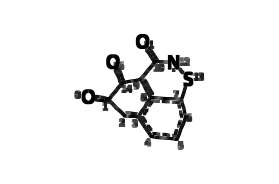 O=C1C=c2cccc3c2=C(C(=O)[N]S3)C1=O